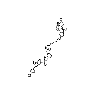 COc1cnc(C(=O)NCc2cccc(CC(=O)N(C)CCCCCCCOc3ccc4c(c3)C(=O)N(C3CCC(=O)NC3=O)C4=O)c2)cc1/C=C/c1ccc(Cl)cc1